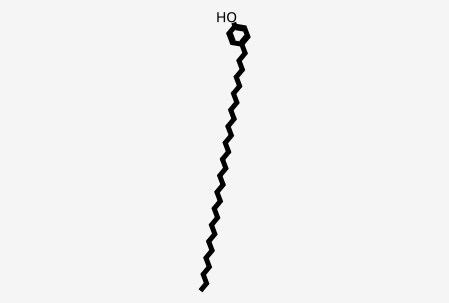 CCCCCCCCCCCCCCCCCCCCCCCCCCCCCCc1ccc(O)cc1